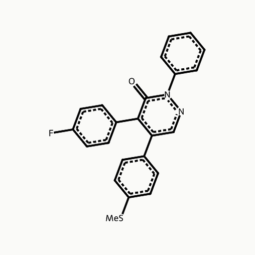 CSc1ccc(-c2cnn(-c3ccccc3)c(=O)c2-c2ccc(F)cc2)cc1